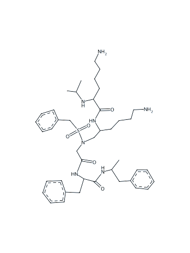 CC(C)NC(CCCCN)C(=O)NC(CCCCN)CN(CC(=O)NC(Cc1ccccc1)C(=O)NC(C)Cc1ccccc1)S(=O)(=O)Cc1ccccc1